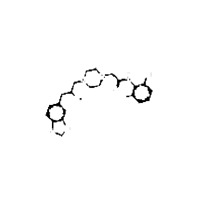 Cc1cccc(C)c1NC(=O)CN1CCN(CC(O)Cc2ccc3c(c2)OCO3)CC1